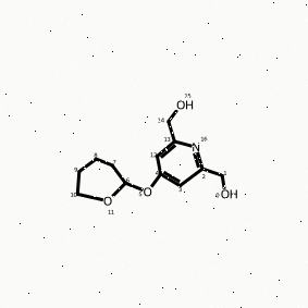 OCc1cc(OC2CCCCO2)cc(CO)n1